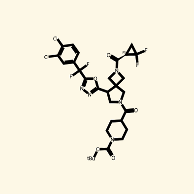 CC(C)(C)OC(=O)N1CCC(C(=O)N2CC(c3nnc(C(F)(F)c4ccc(Cl)c(Cl)c4)o3)C3(C2)CN(C(=O)[C@H]2CC2(F)F)C3)CC1